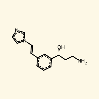 NCC[C@@H](O)c1cccc(/C=C/n2ccnc2)c1